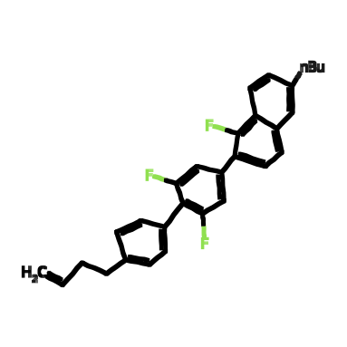 C=CCCc1ccc(-c2c(F)cc(-c3ccc4cc(CCCC)ccc4c3F)cc2F)cc1